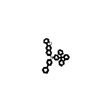 c1ccc(-c2ccc(N(c3ccc(C4(c5ccccc5)c5ccccc5-c5ccccc54)cc3)c3ccc4cc5c(cc4c3)oc3ccccc35)cc2)cc1